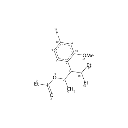 CCC(=O)OC(C)C(c1ccc(F)cc1OC)C(CC)CC